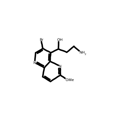 COc1ccc2ncc(Br)c(C(O)CCN)c2n1